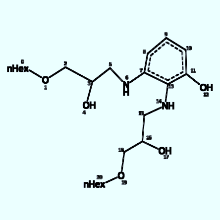 CCCCCCOCC(O)CNc1cccc(O)c1NCC(O)COCCCCCC